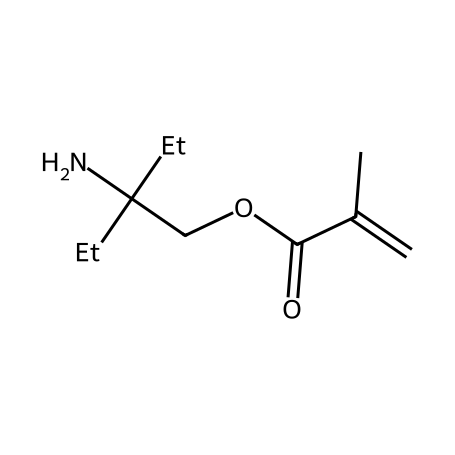 C=C(C)C(=O)OCC(N)(CC)CC